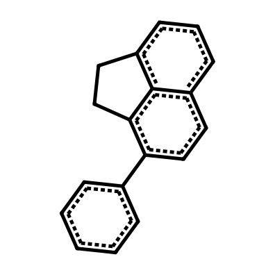 c1ccc(-c2ccc3cccc4c3c2CC4)cc1